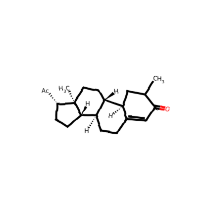 CC(=O)[C@H]1CC[C@H]2[C@@H]3CCC4=CC(=O)C(C)C[C@@H]4[C@H]3CC[C@]12C